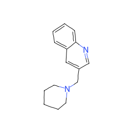 c1ccc2ncc(CN3CCCCC3)cc2c1